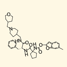 Cc1ccc2cc(OC(=O)NC3(C(=O)N[C@H](Cc4ccccc4)C(=O)NCC4CCN(CC5CCOCC5)CC4)CCCC3)oc2c1